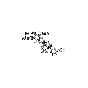 C#Cc1cccc(-n2ncc3c(NCc4cc(OC)c(OC)c(OC)c4)ncnc32)c1